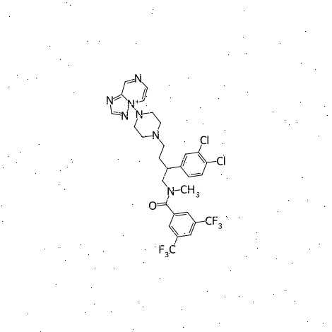 CN(CC(CCN1CCN([N+]23C=CN=CC2=NC=N3)CC1)c1ccc(Cl)c(Cl)c1)C(=O)c1cc(C(F)(F)F)cc(C(F)(F)F)c1